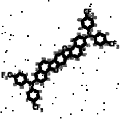 FC(F)(F)c1ccc(N(c2ccc(C(F)(F)F)cc2)c2ccc3c(ccc4c5cc6oc7c8ccc(N(c9ccc(C(F)(F)F)cc9)c9ccc(C(F)(F)F)cc9)cc8ccc7c6cc5oc34)c2)cc1